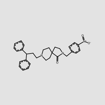 O=C1N(Cc2ccc([N+](=O)[O-])cc2)CCC12CCN(CCC(c1ccccc1)c1ccccc1)CC2